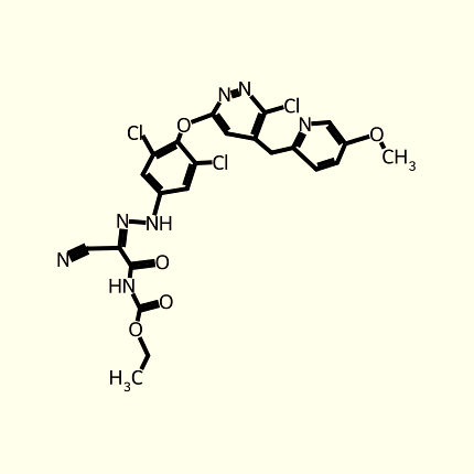 CCOC(=O)NC(=O)C(C#N)=NNc1cc(Cl)c(Oc2cc(Cc3ccc(OC)cn3)c(Cl)nn2)c(Cl)c1